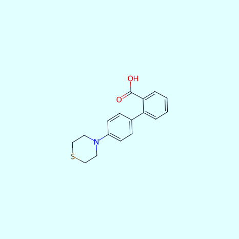 O=C(O)c1ccccc1-c1ccc(N2CCSCC2)cc1